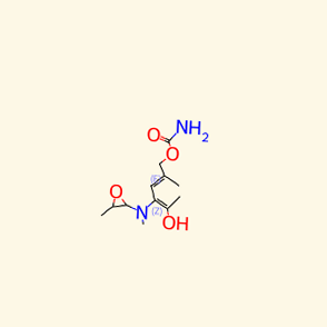 C/C(O)=C(\C=C(/C)COC(N)=O)N(C)C1OC1C